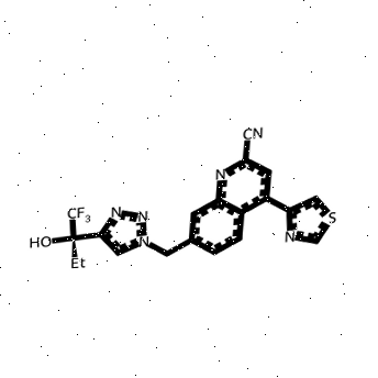 CC[C@](O)(c1cn(Cc2ccc3c(-c4cscn4)cc(C#N)nc3c2)nn1)C(F)(F)F